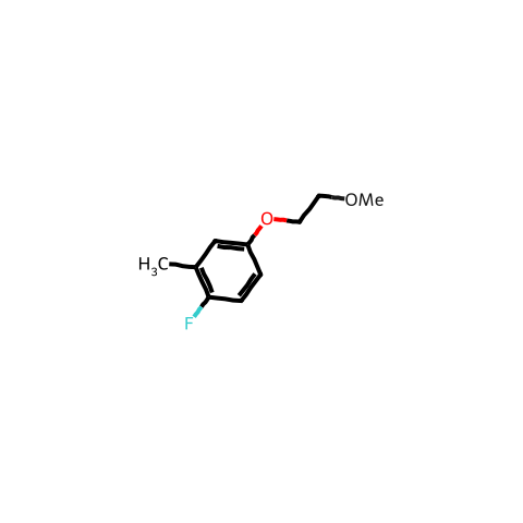 COCCOc1ccc(F)c(C)c1